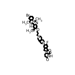 COc1cc2c(NC(C)c3cccc(Br)c3)nc(C)nc2cc1OCCCN1CCC2(CC1)CCN(c1cc3c(cc1F)C(=O)N(C1CCC(=O)NC1=O)C3)CC2